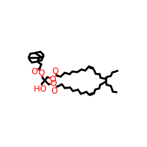 CCCCCCCC/C=C\CCCCCCCC(=O)OCC(CO)(COC(=O)CCCCCCC/C=C\CCCCCCCC)COC(=O)CC12CC3CC(CC(C3)C1)C2